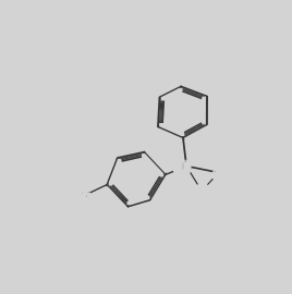 Nc1ccc([PH]2(c3ccccc3)OO2)cc1